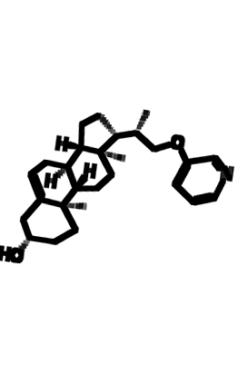 C[C@H](COc1cccnc1)[C@H]1CC[C@H]2[C@@H]3CC=C4C[C@@H](O)CC[C@]4(C)[C@H]3CC[C@]12C